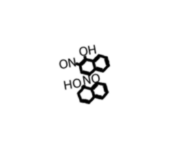 O=NC1(O)CC=Cc2ccccc21.O=Nc1ccc2ccccc2c1O